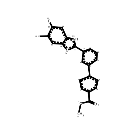 COC(=O)c1ccc(-c2cccc(-c3nc4cc(F)c(F)cc4[nH]3)c2)cc1